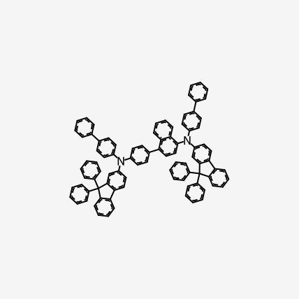 c1ccc(-c2ccc(N(c3ccc(-c4ccc(N(c5ccc(-c6ccccc6)cc5)c5ccc6c(c5)C(c5ccccc5)(c5ccccc5)c5ccccc5-6)c5ccccc45)cc3)c3ccc4c(c3)C(c3ccccc3)(c3ccccc3)c3ccccc3-4)cc2)cc1